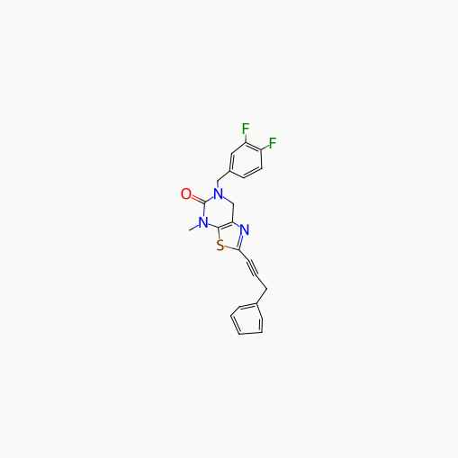 CN1C(=O)N(Cc2ccc(F)c(F)c2)Cc2nc(C#CCc3ccccc3)sc21